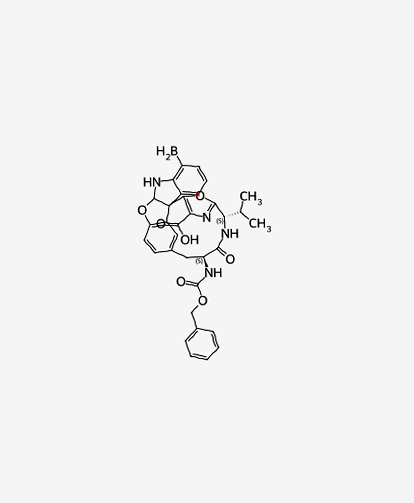 Bc1cccc2c1NC1Oc3ccc4cc3C21c1oc(nc1C(=O)O)[C@H](C(C)C)NC(=O)[C@@H](NC(=O)OCc1ccccc1)C4